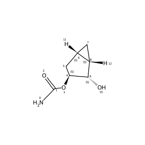 NC(=O)O[C@H]1C[C@@H]2C[C@@H]2[C@@H]1O